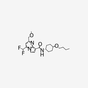 CCCCO[C@H]1CC[C@H](NC(=O)c2ccn3c(C(F)F)cc(COC)nc23)CC1